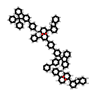 c1ccc(-c2ccc(C3(c4ccc(-c5ccc(-c6cccc(-c7ccccc7N(c7ccc(-c8ccc9c(c8)C(c8ccccc8)(c8ccccc8)c8ccccc8-9)cc7)c7ccc(-c8cccc9c8oc8ccccc89)cc7)c6)cc5)cc4)c4ccccc4-c4ccc(N(c5ccc(-c6cccc7c6oc6ccccc67)cc5)c5ccccc5-c5ccccc5)cc43)cc2)cc1